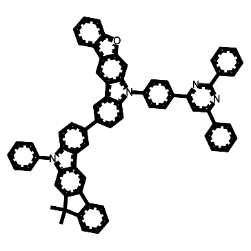 CC1(C)c2ccccc2-c2cc3c4cc(-c5ccc6c(c5)c5cc7c(cc5n6-c5ccc(-c6cc(-c8ccccc8)nc(-c8ccccc8)n6)cc5)oc5ccccc57)ccc4n(-c4ccccc4)c3cc21